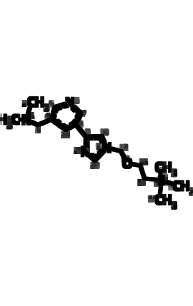 CN(C)Cc1cncc(-c2cn(COCC[Si](C)(C)C)cn2)c1